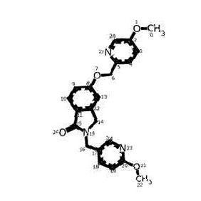 COc1ccc(COc2ccc3c(c2)CN(Cc2ccc(OC)nc2)C3=O)nc1